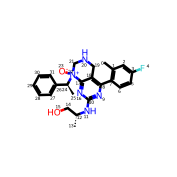 Cc1cc(F)ccc1-c1nc(N[C@H](C)CO)nc2c1CNC[N+]2([O-])[C@@H](C)c1ccccc1